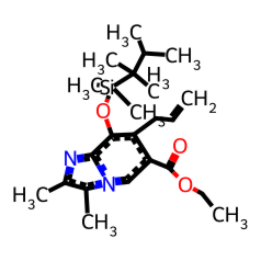 C=CCc1c(C(=O)OCC)cn2c(C)c(C)nc2c1O[Si](C)(C)C(C)(C)C(C)C